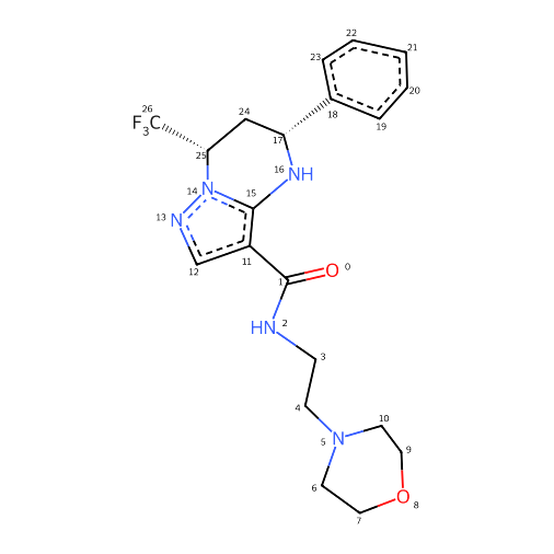 O=C(NCCN1CCOCC1)c1cnn2c1N[C@@H](c1ccccc1)C[C@H]2C(F)(F)F